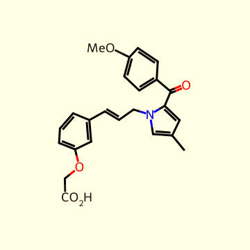 COc1ccc(C(=O)c2cc(C)cn2C/C=C/c2cccc(OCC(=O)O)c2)cc1